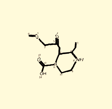 COCC(=O)C1C(C)NCCN1C(=O)O